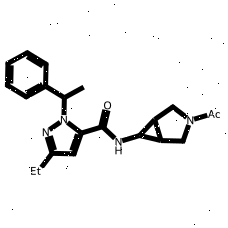 CCc1cc(C(=O)NC2C3CN(C(C)=O)CC32)n(C(C)c2ccccc2)n1